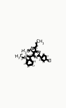 CCCc1nn(C)c2c(-c3cn(CC)c4ccccc34)nc(-c3ccc(Cl)cc3)nc12